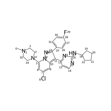 CN1CCN(c2cc(Cl)cc3c(-c4ccnc(NC5CCCC5)n4)c(-c4ccc(F)cc4)nn23)CC1